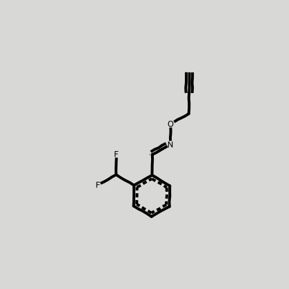 C#CCON=[C]c1ccccc1C(F)F